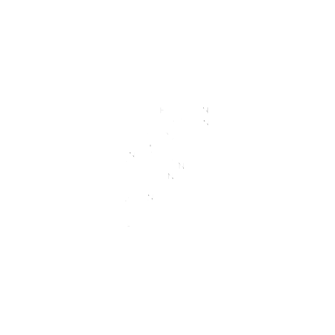 Cn1ncc2c(F)cc(-c3nn4c(c3C(N)=O)CN(C(=O)OC(C)(C)C)CC4)cc21